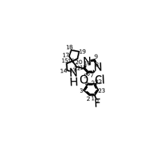 Fc1ccc(Oc2cncnc2C2NCCC23CCCC3)c(Cl)c1